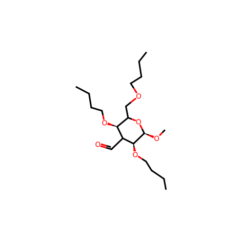 CCCCOCC1O[C@@H](OC)[C@@H](OCCCC)C(C=O)[C@H]1OCCCC